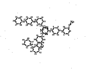 N#Cc1cccc(-c2ccc(-c3nc(-c4cccc(-c5ccc(-c6ccccc6)cc5)c4)nc(-c4ccc5c(c4)oc4cccc(-c6ccccc6)c45)n3)cc2)c1